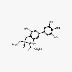 CCCc1cc(-c2cc(CCC)c(OP(=O)(COC)N[C@@H](C)C(=O)OCC)c(CCC)c2)cc(CCC)c1O